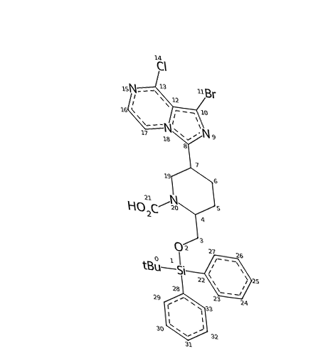 CC(C)(C)[Si](OCC1CCC(c2nc(Br)c3c(Cl)nccn23)CN1C(=O)O)(c1ccccc1)c1ccccc1